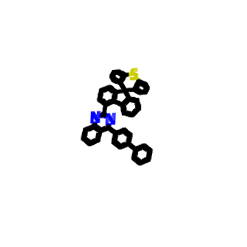 c1ccc(-c2ccc(-c3nc(-c4cccc5c4-c4ccccc4C54c5ccccc5Sc5ccccc54)nc4ccccc34)cc2)cc1